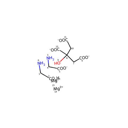 NCC(=O)O.NCC(=O)[O-].O=C([O-])CC(O)(CC(=O)[O-])C(=O)[O-].[Mg+2].[Mg+2]